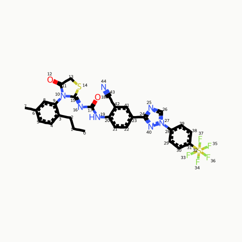 CCCc1ccc(C)cc1N1C(=O)CSC1=NC(=O)Nc1ccc(-c2ncn(-c3ccc(S(F)(F)(F)(F)F)cc3)n2)cc1C#N